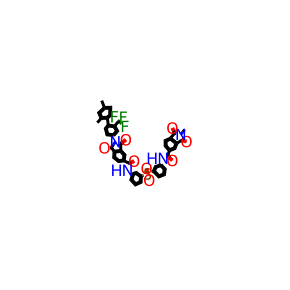 Cc1ccc(-c2ccc(N3C(=O)c4ccc(C(=O)Nc5cccc(S(=O)(=O)c6cccc(NC(=O)c7ccc8c(c7)C(=O)N(C)C8=O)c6)c5)cc4C3=O)cc2C(F)(F)F)c(C)c1